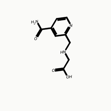 NC(=O)c1ccnc(CNCC(=O)O)c1